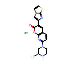 C[C@H]1CN(c2ccc3cc(-c4cn5ccsc5n4)c(=O)oc3n2)CCN1.Cl